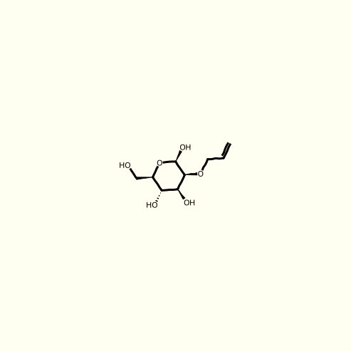 C=CCO[C@H]1[C@@H](O)[C@H](O)[C@@H](CO)O[C@H]1O